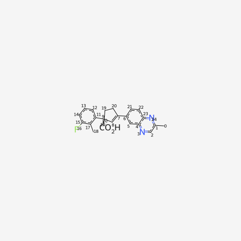 Cc1cnc2cc(C3=C[C@](C(=O)O)(c4cccc(F)c4C)CC3)ccc2n1